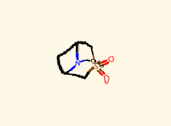 CN1C2CC1CS(=O)(=O)C2